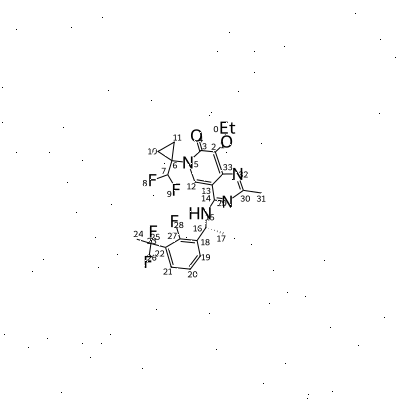 CCOc1c(=O)n(C2(C(F)F)CC2)cc2c(N[C@H](C)c3cccc(C(C)(F)F)c3F)nc(C)nc12